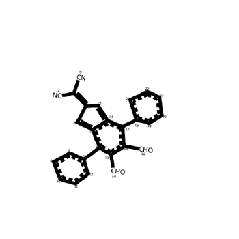 N#CC(C#N)=C1C=c2c(-c3ccccc3)c(C=O)c(C=O)c(-c3ccccc3)c2=C1